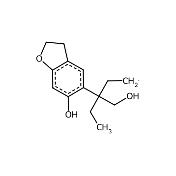 [CH2]CC(CC)(CO)c1cc2c(cc1O)OCC2